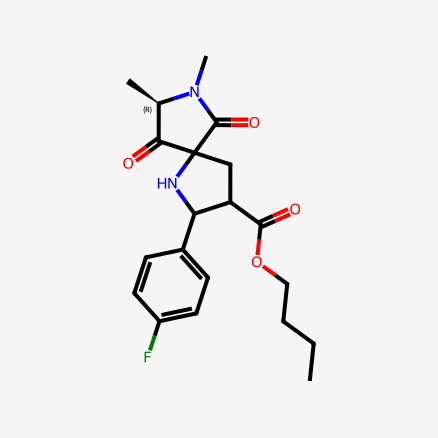 CCCCOC(=O)C1CC2(NC1c1ccc(F)cc1)C(=O)[C@@H](C)N(C)C2=O